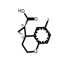 O=C(O)[C@@H]1C[C@]12CCOc1ccc(I)cc12